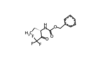 CC[C@H](NC(=O)OCc1ccccc1)C(=O)C(F)(F)F